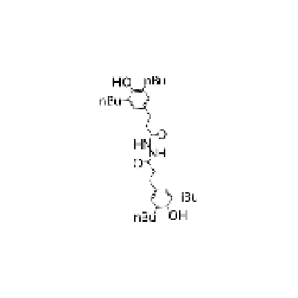 CCCCc1cc(CCC(=O)NNC(=O)CCc2cc(CCCC)c(O)c(C(C)CC)c2)cc(CCCC)c1O